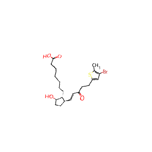 Cc1sc(CCC(=O)/C=C/[C@H]2CCC(O)[C@@H]2CCCCCCC(=O)O)cc1Br